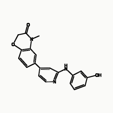 CN1C(=O)COc2ccc(-c3ccnc(Nc4cccc(O)c4)c3)cc21